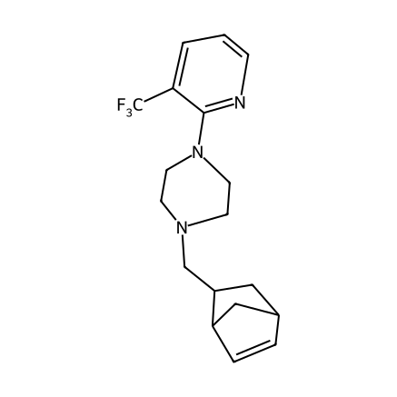 FC(F)(F)c1cccnc1N1CCN(CC2CC3C=CC2C3)CC1